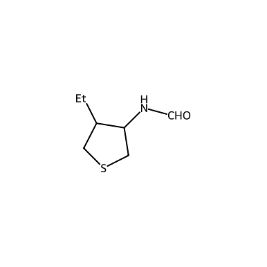 CCC1CSCC1NC=O